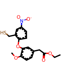 CCOC(=O)Cc1ccc(OC)c(Oc2ccc([N+](=O)[O-])cc2CS)c1